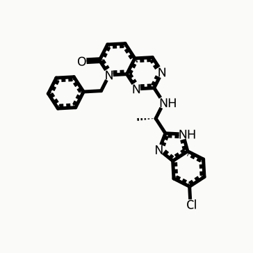 C[C@H](Nc1ncc2ccc(=O)n(Cc3ccccc3)c2n1)c1nc2cc(Cl)ccc2[nH]1